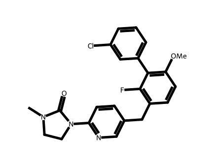 COc1ccc(Cc2ccc(N3CCN(C)C3=O)nc2)c(F)c1-c1cccc(Cl)c1